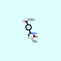 COC(=O)C1CCC(C(CF)NC(=O)OC(C)(C)C)CC1